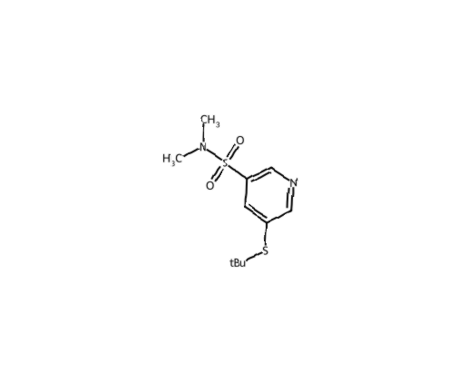 CN(C)S(=O)(=O)c1cncc(SC(C)(C)C)c1